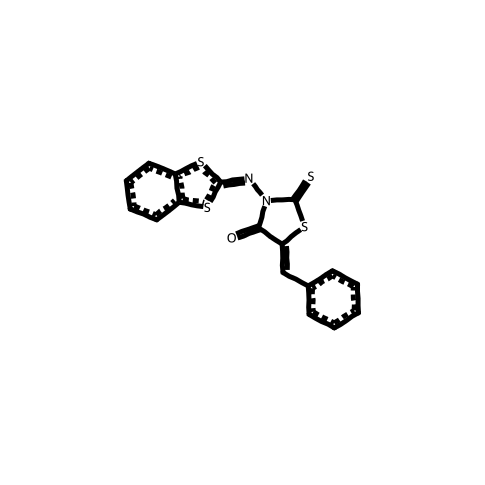 O=C1/C(=C/c2ccccc2)SC(=S)N1N=c1sc2ccccc2s1